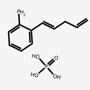 C=CCC=Cc1ccccc1P.O=P(O)(O)O